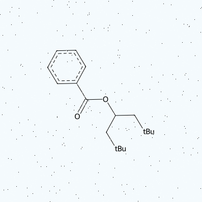 CC(C)(C)CC(CC(C)(C)C)OC(=O)c1ccccc1